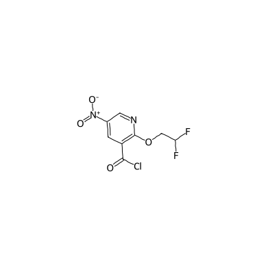 O=C(Cl)c1cc([N+](=O)[O-])cnc1OCC(F)F